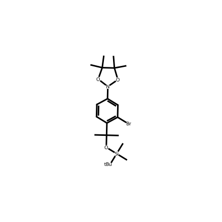 CC(C)(O[Si](C)(C)C(C)(C)C)c1ccc(N2OC(C)(C)C(C)(C)O2)cc1Br